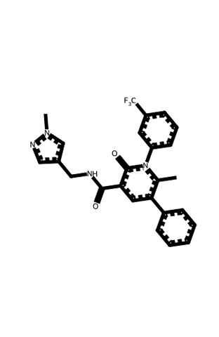 Cc1c(-c2ccccc2)cc(C(=O)NCc2cnn(C)c2)c(=O)n1-c1cccc(C(F)(F)F)c1